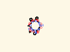 CC(C)C[C@H]1C(=O)N[C@@H](COC(C)(C)C)C(=O)N[C@H](C(=O)N2CCCCC2)C(=O)N(C)CC(=O)NC(=O)N(C)[C@@H](C)C(=O)N(C)[C@@H](Cc2ccccc2)C(=O)N(C)[C@@H](Cc2ccccc2)C(=O)N1C